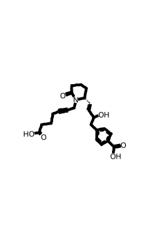 O=C(O)CCCC#CCN1C(=O)CCC[C@@H]1/C=C/C(O)Cc1ccc(C(=O)O)cc1